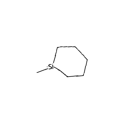 C[Si]1CCCCC1